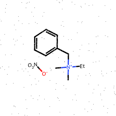 CC[N+](C)(C)Cc1ccccc1.O=[N+]([O-])[O-]